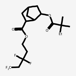 CCC(C)(C)C(=O)OC1CC2CC(C(=O)OCCC(F)(F)CC(F)(F)F)C1C2